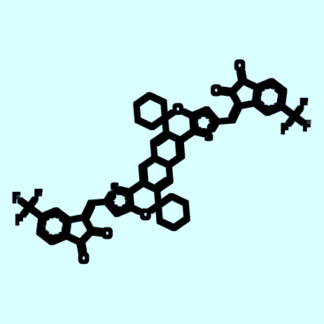 O=C1C(=O)c2ccc(C(F)(F)F)cc2/C1=C/c1cc2c(s1)C1=CC3C=C4C(=CC3C=C1C1(CCCCC1)O2)c1sc(/C=C2\C(=O)C(=O)c3ccc(C(F)(F)F)cc32)cc1OC41CCCCC1